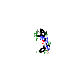 CSc1ncc(Br)c([C@H](Cc2cc(F)cc(F)c2)NC(=O)Cn2nc(C(F)(F)F)c3c2C(F)(F)[C@@H]2C#C[C@H]32)n1